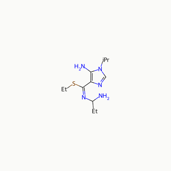 CCS/C(=N/C(N)CC)c1ncn(C(C)C)c1N